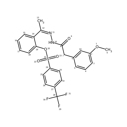 COc1cccc(CC(=O)NN=C(C)c2ccccc2OS(=O)(=O)c2ccc(C(F)(F)F)cc2)c1